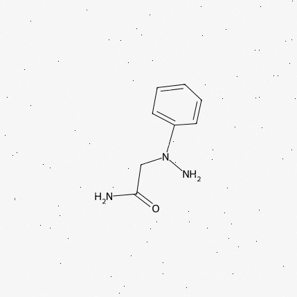 NC(=O)CN(N)c1ccccc1